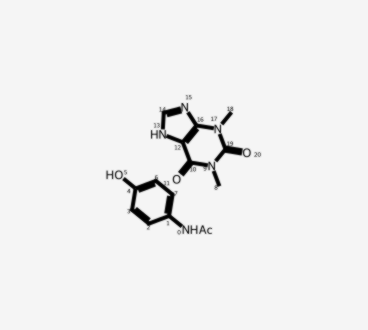 CC(=O)Nc1ccc(O)cc1.Cn1c(=O)c2[nH]cnc2n(C)c1=O